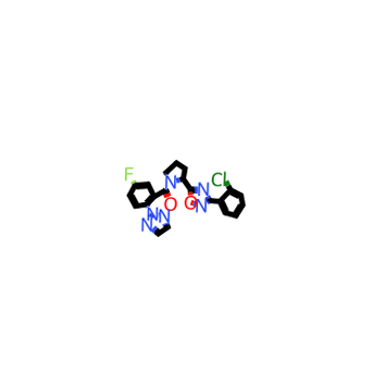 O=C(c1cc(F)ccc1-n1nccn1)N1CCCC1c1nc(-c2ccccc2Cl)no1